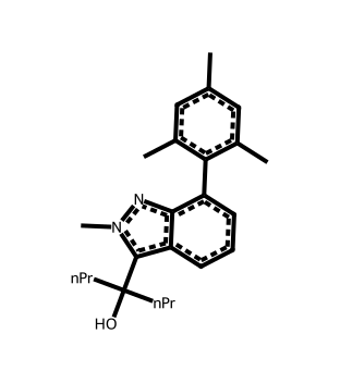 CCCC(O)(CCC)c1c2cccc(-c3c(C)cc(C)cc3C)c2nn1C